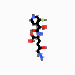 [N-]=[N+]=CC(=O)CC[C@H](NC(=O)[C@H](O)c1ccncc1F)C(=O)O